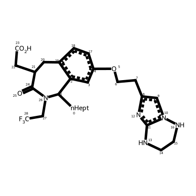 CCCCCCCC1c2cc(OCCc3cn4c(n3)NCCN4)ccc2CC(CC(=O)O)C(=O)N1CC(F)(F)F